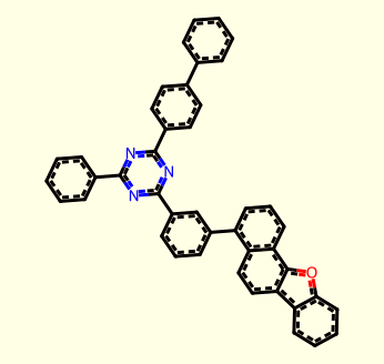 c1ccc(-c2ccc(-c3nc(-c4ccccc4)nc(-c4cccc(-c5cccc6c5ccc5c7ccccc7oc65)c4)n3)cc2)cc1